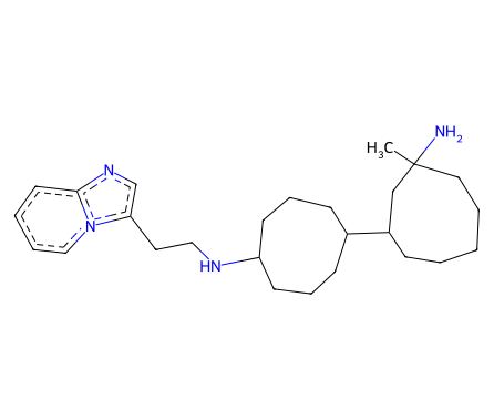 CC1(N)CCCCCC(C2CCCC(NCCc3cnc4ccccn34)CCC2)C1